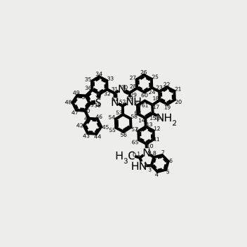 CC1Nc2ccccc2N1c1ccc(C2=C(N)C(c3ccccc3-c3cccc(C4=NC(c5cccc6c5sc5c(-c7ccccc7)cccc56)=NC(C5C=CC=CC5)N4)c3)CC=C2)cc1